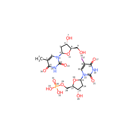 Cc1cn([C@H]2C[C@H](O)[C@@H](CO)O2)c(=O)[nH]c1=O.O=c1[nH]c(=O)n([C@H]2C[C@H](O)[C@@H](COP(=O)(O)O)O2)cc1I